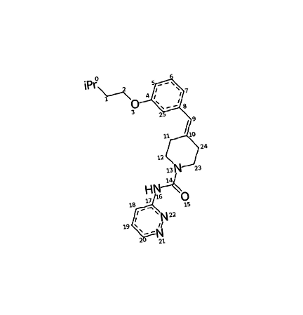 CC(C)CCOc1cccc(C=C2CCN(C(=O)Nc3cccnn3)CC2)c1